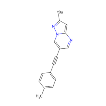 Cc1ccc(C#Cc2cnc3cc(C(C)(C)C)nn3c2)cc1